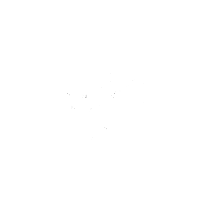 Cc1cc([C@@H](NC(=O)c2cc(Cn3ccn(C)c3=N)cc(N3CCCC3C)c2)C2CC2)ccc1F